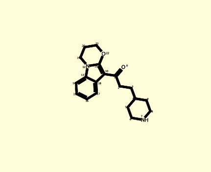 O=C(CCC1CCNCC1)c1c2n(c3ccccc13)CCCO2